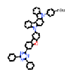 CCCCc1ccc(-n2c3ccccc3c3c4c5ccccc5n(-c5ccc6oc7cc(-c8nc(-c9ccccc9)nc(-c9ccccc9)n8)ccc7c6c5)c4ccc32)cc1